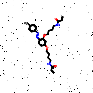 C=CC(=O)NCCCCOc1ccc(N=Nc2ccc([N+](=O)[O-])cc2)c(OCCCCNC(=O)C=C)c1